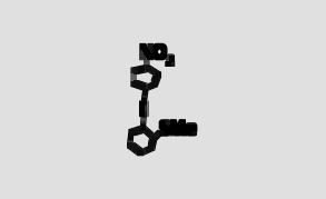 CSc1ccccc1C#Cc1ccc([N+](=O)[O-])cc1